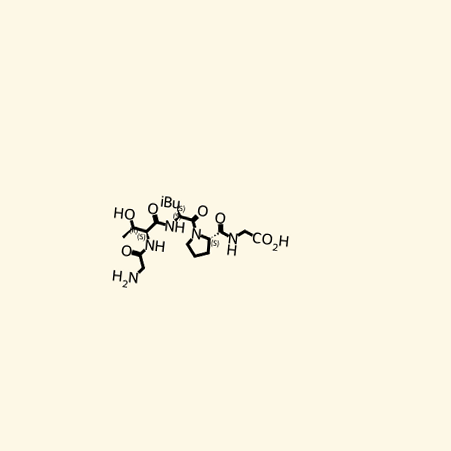 CC[C@H](C)[C@H](NC(=O)[C@@H](NC(=O)CN)[C@@H](C)O)C(=O)N1CCC[C@H]1C(=O)NCC(=O)O